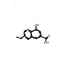 CCc1cnc2c(O)cc(C(=O)O)cc2c1